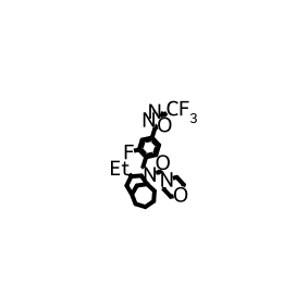 CCC1CC2CCCCC(N(Cc3ccc(-c4nnc(C(F)(F)F)o4)cc3F)C(=O)N3CCOCC3)(C1)C2